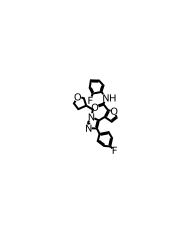 O=C(Nc1ccccc1F)c1occc1-c1c(-c2ccc(F)cc2)ncn1CC1CCOC1